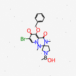 CB(O)N1CCC2(C1)N(C)C(=O)c1c(OCc3ccccc3)c(=O)c(Br)cn1N2C